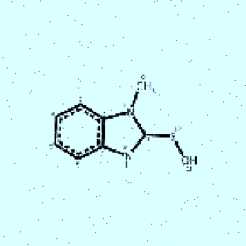 CN1c2ccccc2NC1SO